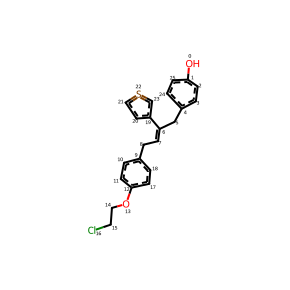 Oc1ccc(CC(=CCc2ccc(OCCCl)cc2)c2ccsc2)cc1